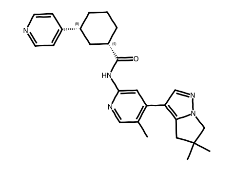 Cc1cnc(NC(=O)[C@H]2CCC[C@@H](c3ccncc3)C2)cc1-c1cnn2c1CC(C)(C)C2